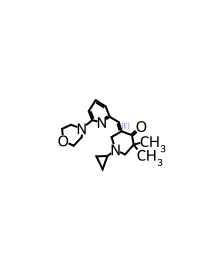 CC1(C)CN(C2CC2)C/C(=C\c2cccc(N3CCOCC3)n2)C1=O